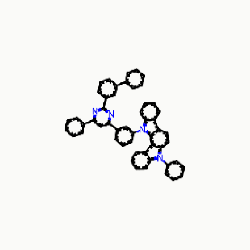 c1ccc(-c2cccc(-c3nc(-c4ccccc4)cc(-c4cccc(-n5c6ccccc6c6ccc7c(c8ccccc8n7-c7ccccc7)c65)c4)n3)c2)cc1